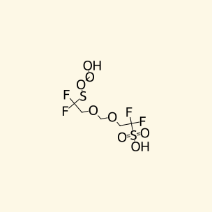 O=S(=O)(O)C(F)(F)COCOCC(F)(F)SOOO